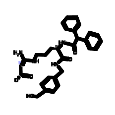 N/C(=N/[N+](=O)[O-])NCCC[C@@H](NC(=O)C(c1ccccc1)c1ccccc1)C(=O)NCc1ccc(CO)cc1